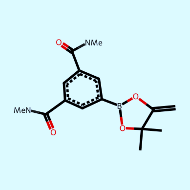 C=C1OB(c2cc(C(=O)NC)cc(C(=O)NC)c2)OC1(C)C